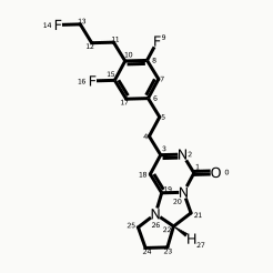 O=c1nc(CCc2cc(F)c(CCCF)c(F)c2)cc2n1C[C@@H]1CCCN21